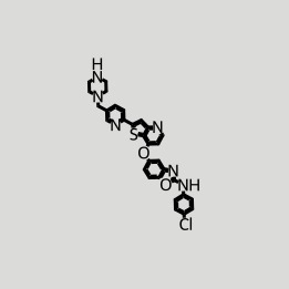 Clc1ccc(Nc2nc3cc(Oc4ccnc5cc(-c6ccc(CN7CCNCC7)cn6)sc45)ccc3o2)cc1